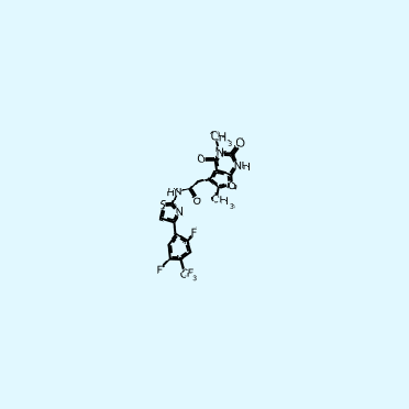 Cc1oc2[nH]c(=O)n(C)c(=O)c2c1CC(=O)Nc1nc(-c2cc(F)c(C(F)(F)F)cc2F)cs1